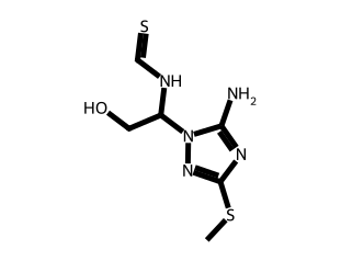 CSc1nc(N)n(C(CO)NC=S)n1